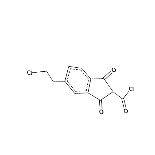 O=C(Cl)C1C(=O)c2ccc(CCCl)cc2C1=O